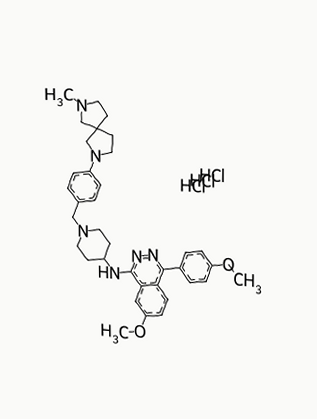 COc1ccc(-c2nnc(NC3CCN(Cc4ccc(N5CCC6(CCN(C)C6)C5)cc4)CC3)c3cc(OC)ccc23)cc1.Cl.Cl.Cl